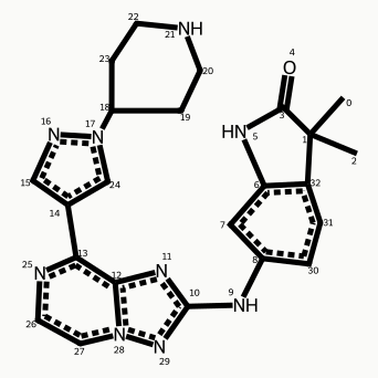 CC1(C)C(=O)Nc2cc(Nc3nc4c(-c5cnn(C6CCNCC6)c5)nccn4n3)ccc21